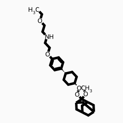 CCOCCNCCOc1ccc([C@H]2CC[C@@H](OOC3(OC)C4CC5CC(C4)CC3C5)CC2)cc1